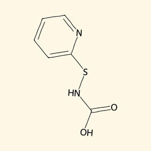 O=C(O)NSc1ccccn1